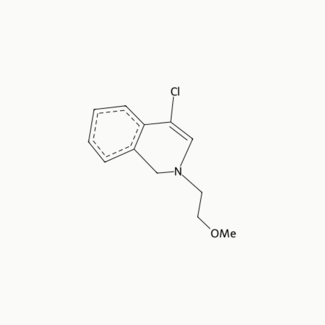 COCCN1C=C(Cl)c2ccccc2C1